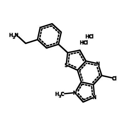 Cl.Cl.Cn1cnc2c(Cl)nc3cc(-c4cccc(CN)c4)sc3c21